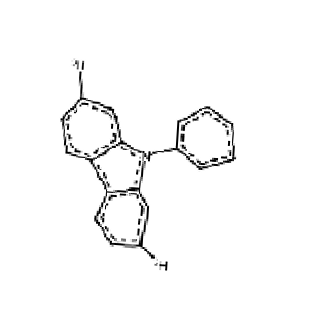 [2H]c1ccc2c3ccc([2H])cc3n(-c3ccccc3)c2c1